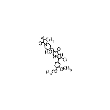 COc1ccc(-c2c(Cl)nc3c(=O)n(CC4(O)CCN(C(=O)C5(C)CC5)CC4)cnn23)cc1OC